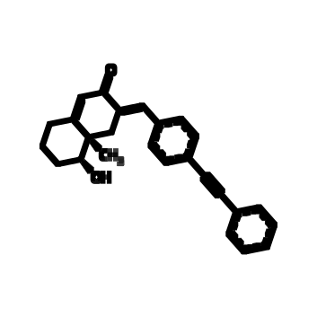 C[C@]12C/C(=C\c3ccc(C#Cc4ccccc4)cc3)C(=O)C=C1CCC[C@@H]2O